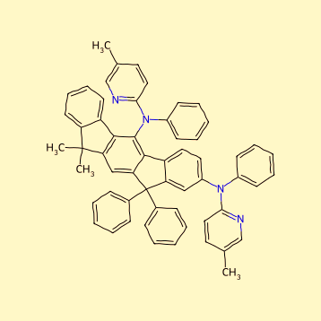 Cc1ccc(N(c2ccccc2)c2ccc3c(c2)C(c2ccccc2)(c2ccccc2)c2cc4c(c(N(c5ccccc5)c5ccc(C)cn5)c2-3)-c2ccccc2C4(C)C)nc1